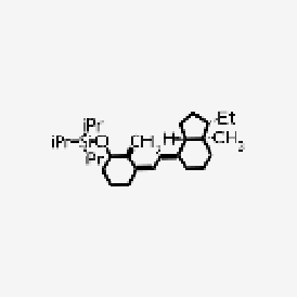 C=C1/C(=C\C=C2/CCC[C@]3(C)[C@@H](CC)CC[C@@H]23)CCCC1O[Si](C(C)C)(C(C)C)C(C)C